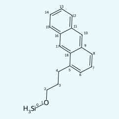 [SiH3]OCCCc1cccc2cc3ccccc3cc12